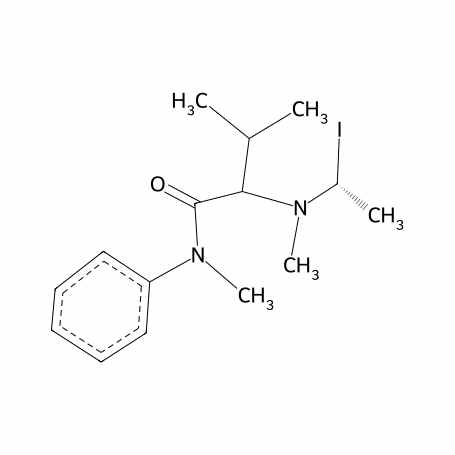 CC(C)C(C(=O)N(C)c1ccccc1)N(C)[C@@H](C)I